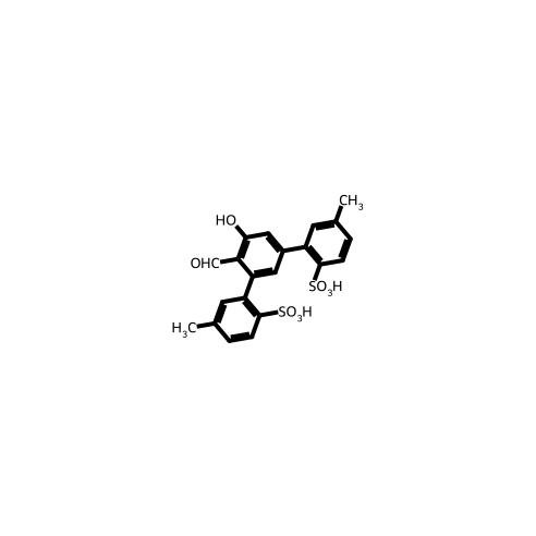 Cc1ccc(S(=O)(=O)O)c(-c2cc(O)c(C=O)c(-c3cc(C)ccc3S(=O)(=O)O)c2)c1